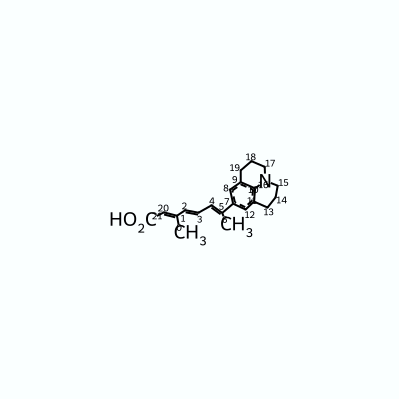 CC(/C=C/C=C(\C)c1cc2c3c(c1)CCCN3CCC2)=C\C(=O)O